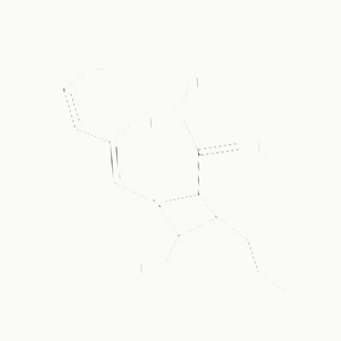 C=C(OC)C1C(CCO)C(C)N1/C=C(C)/C=C\C